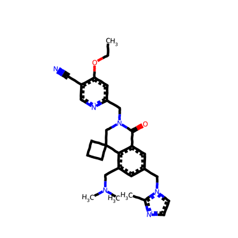 CCOc1cc(CN2CC3(CCC3)c3c(CN(C)C)cc(Cn4ccnc4C)cc3C2=O)ncc1C#N